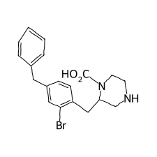 O=C(O)N1CCNCC1Cc1ccc(Cc2ccccc2)cc1Br